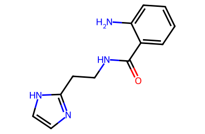 Nc1ccccc1C(=O)NCCc1ncc[nH]1